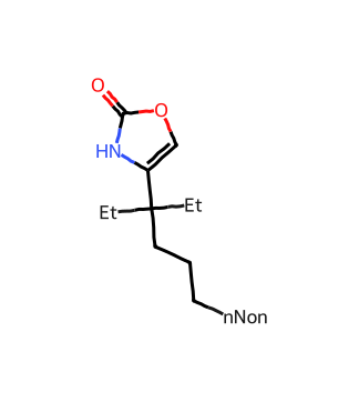 CCCCCCCCCCCCC(CC)(CC)c1coc(=O)[nH]1